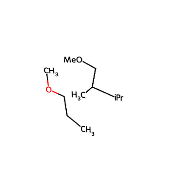 CCCOC.COCC(C)C(C)C